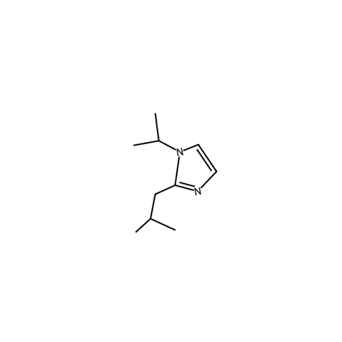 CC(C)Cc1nccn1C(C)C